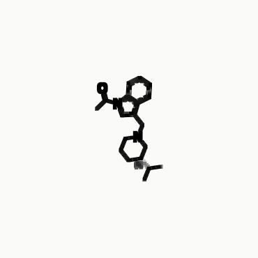 CC(=O)n1cc(CN2CCC[C@@H](C(C)C)C2)c2ccccc21